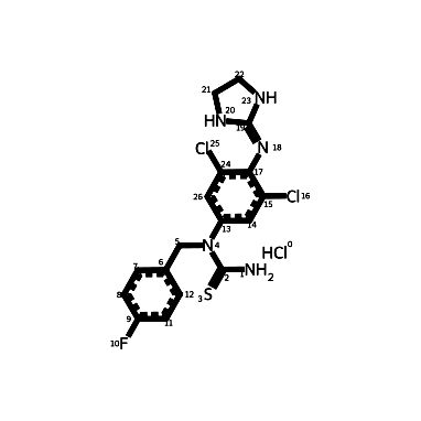 Cl.NC(=S)N(Cc1ccc(F)cc1)c1cc(Cl)c(N=C2NCCN2)c(Cl)c1